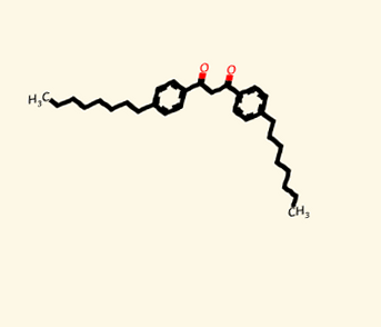 CCCCCCCCc1ccc(C(=O)CC(=O)c2ccc(CCCCCCCC)cc2)cc1